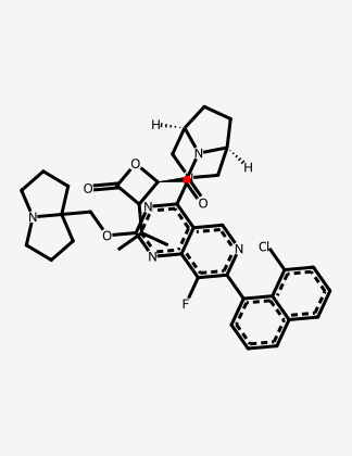 CC(C)C1C(=O)O[C@H]1C(=O)N1[C@@H]2CC[C@H]1CN(c1nc(OCC34CCCN3CCC4)nc3c(F)c(-c4cccc5cccc(Cl)c45)ncc13)C2